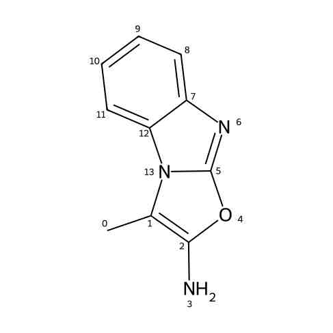 Cc1c(N)oc2nc3ccccc3n12